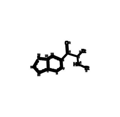 CCNC(CC)C(=O)c1ccc2ccsc2c1